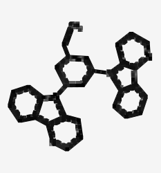 C=Cc1cc(-n2c3ccccc3c3ncccc32)cc(-n2c3ccccc3c3ncccc32)c1